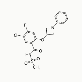 CS(=O)(=O)NC(=O)c1cc(Cl)c(F)cc1OC1CN(c2ccccc2)C1